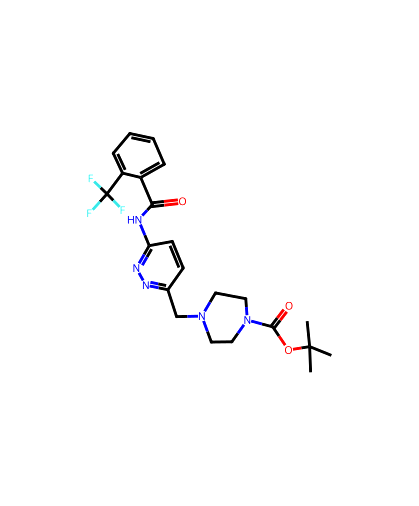 CC(C)(C)OC(=O)N1CCN(Cc2ccc(NC(=O)c3ccccc3C(F)(F)F)nn2)CC1